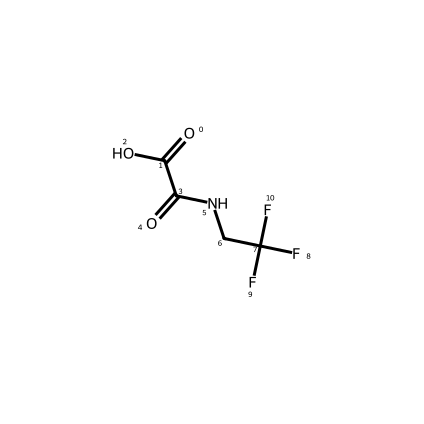 O=C(O)C(=O)NCC(F)(F)F